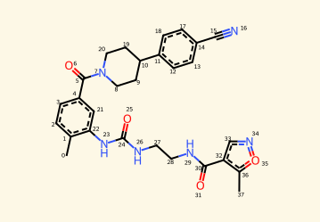 Cc1ccc(C(=O)N2CCC(c3ccc(C#N)cc3)CC2)cc1NC(=O)NCCNC(=O)c1cnoc1C